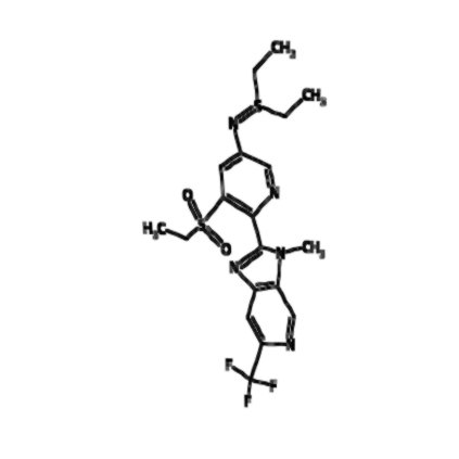 CCS(CC)=Nc1cnc(-c2nc3cc(C(F)(F)F)ncc3n2C)c(S(=O)(=O)CC)c1